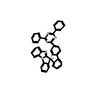 c1ccc(-c2nc(-c3ccccc3)nc(-c3ccc4c(c3)[C@]3(c5ccccc5-4)c4ccccc4-n4c3nc3ccccc34)n2)cc1